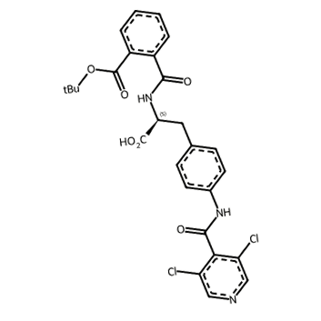 CC(C)(C)OC(=O)c1ccccc1C(=O)N[C@@H](Cc1ccc(NC(=O)c2c(Cl)cncc2Cl)cc1)C(=O)O